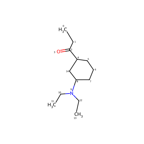 CCC(=O)C1CCCC(N(CC)CC)C1